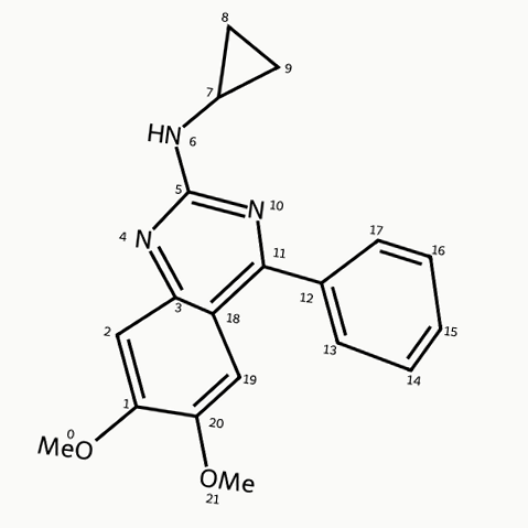 COc1cc2nc(NC3CC3)nc(-c3ccccc3)c2cc1OC